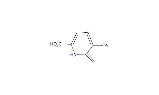 C=C1NC(C(=O)O)=CC=C1C(C)C